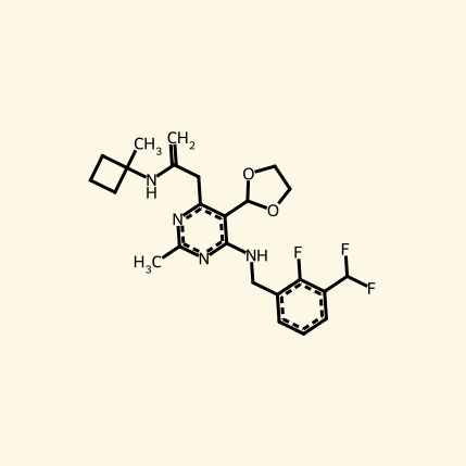 C=C(Cc1nc(C)nc(NCc2cccc(C(F)F)c2F)c1C1OCCO1)NC1(C)CCC1